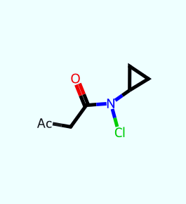 CC(=O)CC(=O)N(Cl)C1CC1